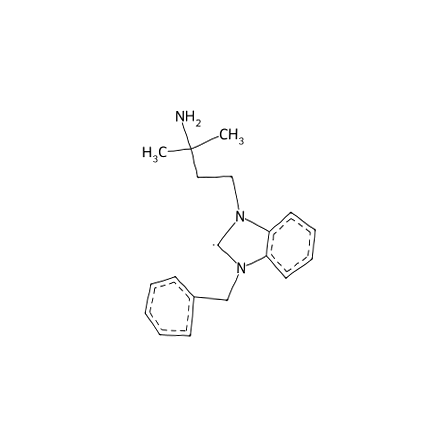 CC(C)(N)CCN1[CH]N(Cc2ccccc2)c2ccccc21